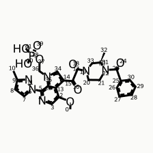 COc1cnc(-n2ccc(C)n2)c2c1c(C(=O)C(=O)N1CCN(C(=O)c3ccccc3)[C@H](C)C1)cn2COP(=O)(O)O